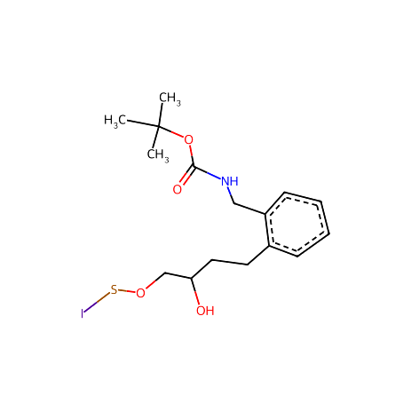 CC(C)(C)OC(=O)NCc1ccccc1CCC(O)COSI